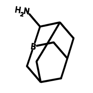 NC1B2CC3CC(C2)CC1C3